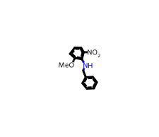 COc1cccc([N+](=O)[O-])c1NCc1ccccc1